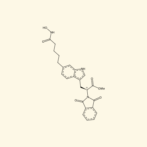 COC(=O)[C@H](Cc1c[nH]c2cc(CCCCC(=O)NO)ccc12)N1C(=O)c2ccccc2C1=O